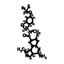 CN(C(=O)c1cc2c(cc1F)nc(N)c1cnn(C)c12)[C@@H]1COc2cc(OC(F)(F)F)ccc21